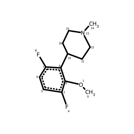 COc1c(F)ccc(F)c1C1CCN(C)CC1